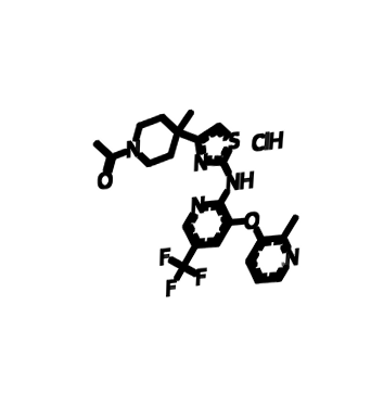 CC(=O)N1CCC(C)(c2csc(Nc3ncc(C(F)(F)F)cc3Oc3cccnc3C)n2)CC1.Cl